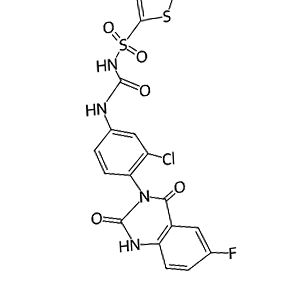 O=C(Nc1ccc(-n2c(=O)[nH]c3ccc(F)cc3c2=O)c(Cl)c1)NS(=O)(=O)c1ccc(Cl)s1